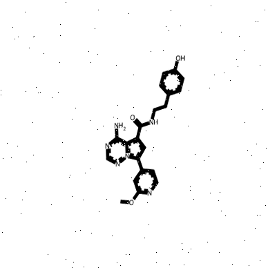 COc1cc(-c2cc(C(=O)NCCc3ccc(O)cc3)c3c(N)ncnn23)ccn1